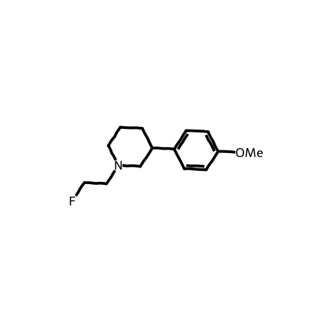 COc1ccc(C2CCCN(CCF)C2)cc1